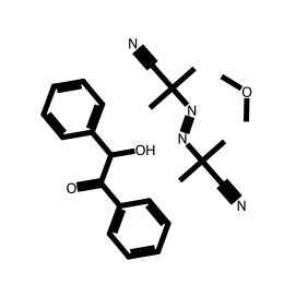 CC(C)(C#N)N=NC(C)(C)C#N.COC.O=C(c1ccccc1)C(O)c1ccccc1